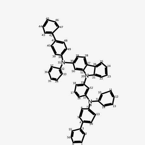 c1ccc(-c2ccc(N(c3ccccc3)c3cccc(-n4c5ccccc5c5ccc(N(c6ccccc6)c6ccc(-c7ccccc7)cc6)cc54)c3)cc2)cc1